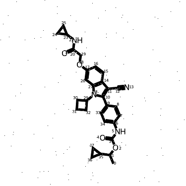 CC(OC(=O)Nc1ccc(-c2c(C#N)c3ccc(OCC(=O)NC4CC4)cc3n2C2CCC2)cc1)C1CC1